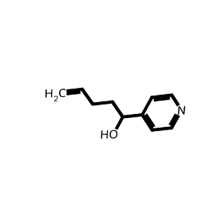 C=CCCC(O)c1ccncc1